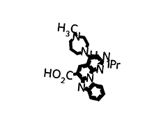 CC(C)N.CN1CCCN(c2ccnc3c2cc(C(=O)O)c2nc4ccccc4n23)CC1